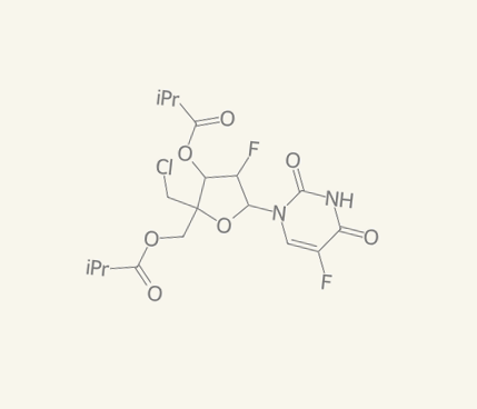 CC(C)C(=O)OCC1(CCl)OC(n2cc(F)c(=O)[nH]c2=O)C(F)C1OC(=O)C(C)C